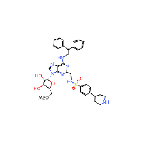 COC[C@H]1O[C@@H](n2cnc3c(NCC(c4ccccc4)c4ccccc4)nc(CNS(=O)(=O)c4ccc(C5CCNCC5)cc4)nc32)[C@@H](O)[C@@H]1O